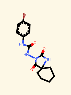 O=C(Nc1ccc(Br)cc1)NN1C(=O)NC2(CCCCC2)C1=O